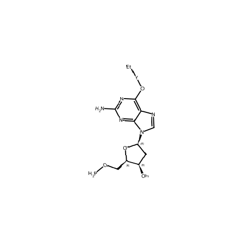 C[CH2][Y][O]c1nc(N)nc2c1ncn2[C@H]1C[C@@H](O)[C@@H](COP)O1